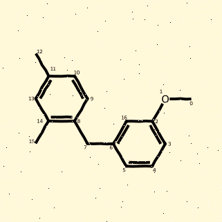 COc1cccc(Cc2ccc(C)cc2C)c1